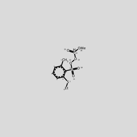 CCSc1cccc(C)c1S(=O)(=O)OO[PH](=O)OC